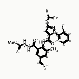 COC(=O)NNC(=O)c1cc(C=N)cc(C)c1NC(=O)c1cc(OC(F)F)nn1-c1ncccc1Cl